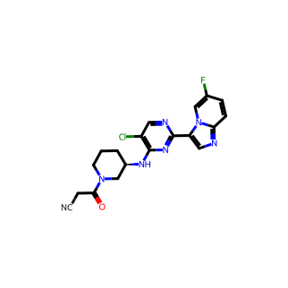 N#CCC(=O)N1CCC[C@@H](Nc2nc(-c3cnc4ccc(F)cn34)ncc2Cl)C1